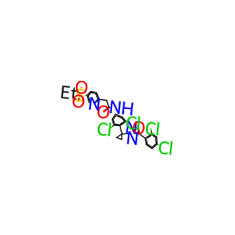 CCS(=O)(=O)c1ccc(CC(=O)Nc2cc(Cl)c(C3(c4noc(-c5ccc(Cl)cc5Cl)n4)CC3)c(Cl)c2)nc1